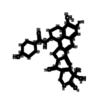 CC[C@@]1(O)C(=O)OCc2c1cc1n(c2=O)Cc2c-1nc1cc(F)c(C)c3c1c2[C@@H](NC(=O)C1CCC(O)CC1)CC3